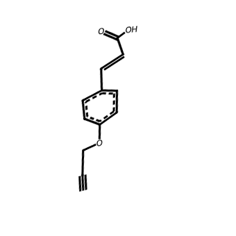 C#CCOc1ccc(/C=C/C(=O)O)cc1